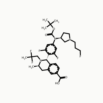 C[C@@H]1Cc2cc(C(=O)O)ccc2[C@@H](c2c(F)cc(N(C(=O)OC(C)(C)C)[C@H]3CCN(CCCF)C3)cc2F)N1CC(C)(F)F